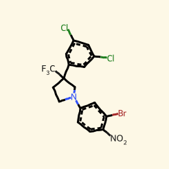 O=[N+]([O-])c1ccc(N2CCC(c3cc(Cl)cc(Cl)c3)(C(F)(F)F)C2)cc1Br